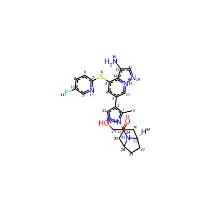 Cc1c(-c2cc(Sc3ccc(F)cn3)c3c(N)cnn3c2)cnn1[C@H]1CC2CC[C@H](C1)N2C(=O)CO